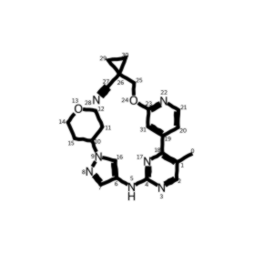 Cc1cnc(Nc2cnn(C3CCOCC3)c2)nc1-c1ccnc(OCC2(C#N)CC2)c1